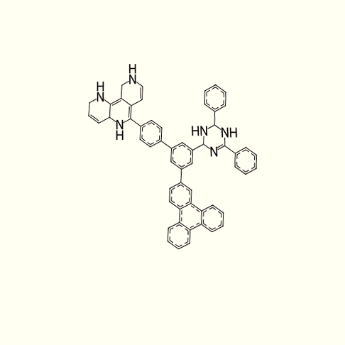 C1=CC2NC(c3ccc(-c4cc(-c5ccc6c7ccccc7c7ccccc7c6c5)cc(C5N=C(c6ccccc6)NC(c6ccccc6)N5)c4)cc3)=C3C=CNCC3=C2NC1